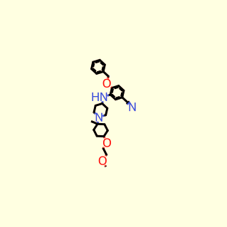 COCCOC1CCC(C)(N2CCC(Nc3cc(C#N)ccc3OCc3ccccc3)CC2)CC1